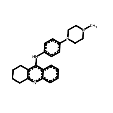 CN1CCN(c2ccc(Nc3c4c(nc5ccccc35)CCCC4)cc2)CC1